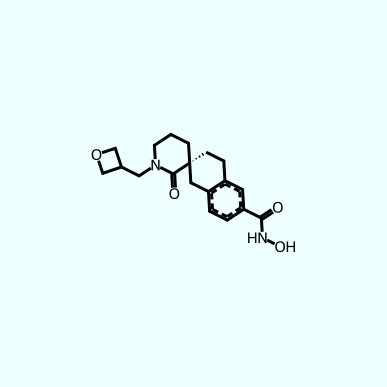 O=C(NO)c1ccc2c(c1)CC[C@]1(CCCN(CC3COC3)C1=O)C2